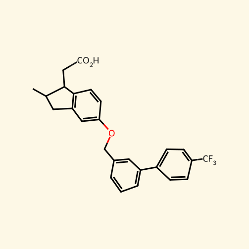 CC1Cc2cc(OCc3cccc(-c4ccc(C(F)(F)F)cc4)c3)ccc2C1CC(=O)O